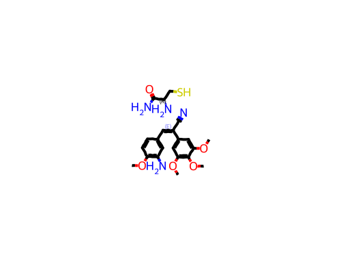 COc1ccc(/C=C(/C#N)c2cc(OC)c(OC)c(OC)c2)cc1N.NC(=O)[C@@H](N)CS